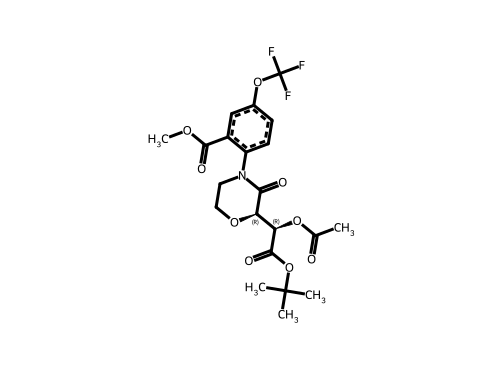 COC(=O)c1cc(OC(F)(F)F)ccc1N1CCO[C@H]([C@@H](OC(C)=O)C(=O)OC(C)(C)C)C1=O